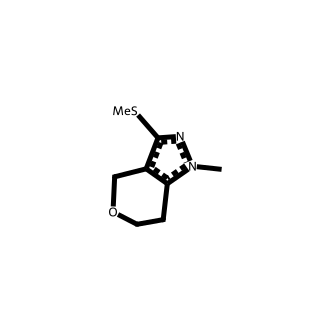 CSc1nn(C)c2c1COCC2